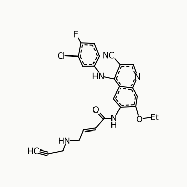 C#CCNC/C=C/C(=O)Nc1cc2c(Nc3ccc(F)c(Cl)c3)c(C#N)cnc2cc1OCC